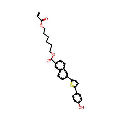 C=CC(=O)OCCCCCCOC(=O)c1ccc2cc(-c3ccc(-c4ccc(O)cc4)s3)ccc2c1